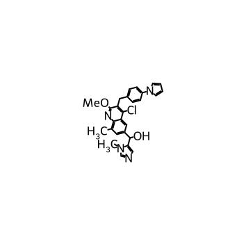 COc1nc2c(C)cc(C(O)c3cncn3C)cc2c(Cl)c1Cc1ccc(-n2cccc2)cc1